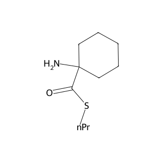 CCCSC(=O)C1(N)CCCCC1